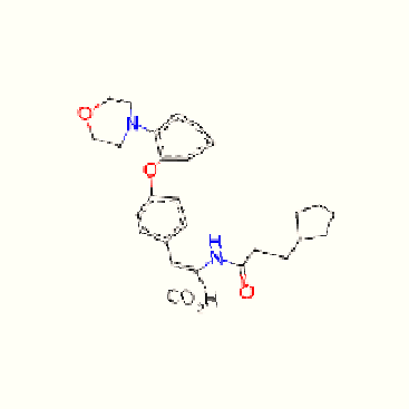 O=C(CCC1CCCC1)N/C(=C\c1ccc(Oc2ccccc2N2CCOCC2)cc1)C(=O)O